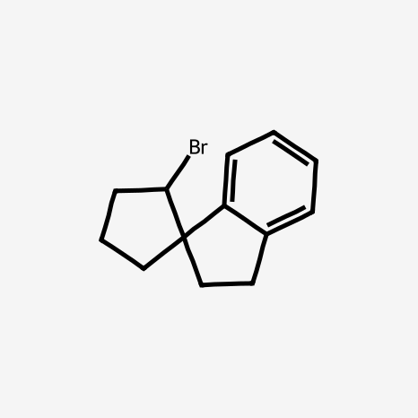 BrC1CCCC12CCc1ccccc12